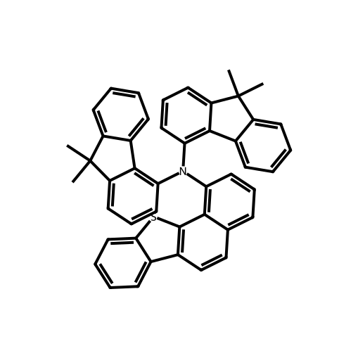 CC1(C)c2ccccc2-c2c(N(c3cccc4c3-c3ccccc3C4(C)C)c3cccc4ccc5c6ccccc6sc5c34)cccc21